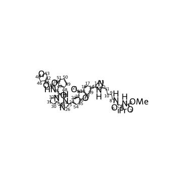 COC(=O)N[C@H](C(=O)NCCCCC1=NCC(c2ccc3c(=O)c4cc(C5CN=C([C@@H]6CCCN6C(=O)[C@H](NC(=O)OC6CCOCC6)c6ccccc6)N5)ccc4oc3c2)N1)C(C)C